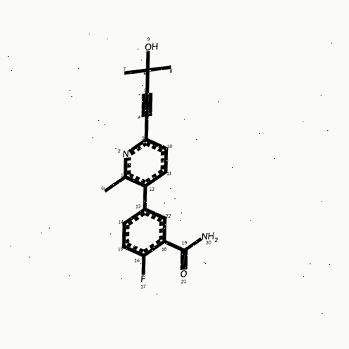 Cc1nc(C#CC(C)(C)O)ccc1-c1ccc(F)c(C(N)=O)c1